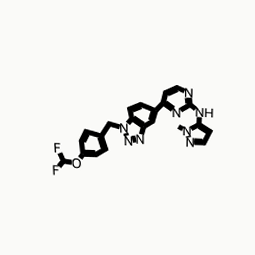 Cn1nccc1Nc1nccc(-c2ccc3c(c2)nnn3Cc2ccc(OC(F)F)cc2)n1